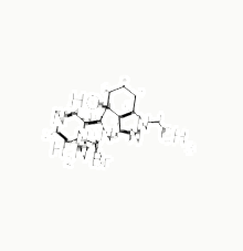 CCn1ncc2c1CCCC2(O)C1=C2C=NC=C[N+]2(N)C(Br)=N1